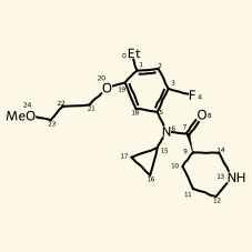 CCc1cc(F)c(N(C(=O)[C@@H]2CCCNC2)C2CC2)cc1OCCCOC